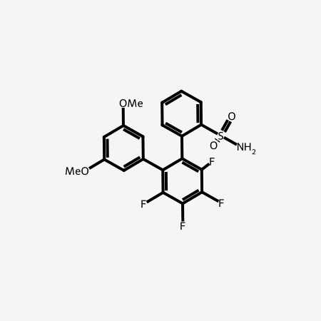 COc1cc(OC)cc(-c2c(F)c(F)c(F)c(F)c2-c2ccccc2S(N)(=O)=O)c1